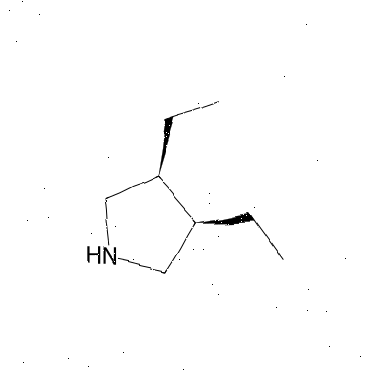 CC[C@@H]1CNC[C@@H]1CC